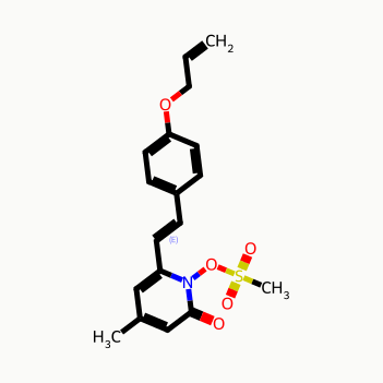 C=CCOc1ccc(/C=C/c2cc(C)cc(=O)n2OS(C)(=O)=O)cc1